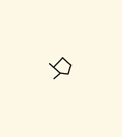 CC1C[CH]CC1C